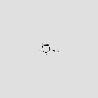 ClN1C=CSC1